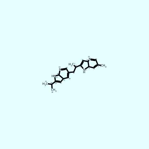 CC1=CC2NC(C(C)CC3=CC4C=C(C(C)C)NC4N=C3)=CC2N=C1